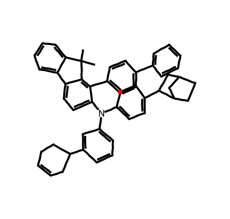 CC1(C)c2ccccc2-c2ccc(N(c3ccc(C4CC5CCC4C5)cc3)c3cccc(C4CC=CCC4)c3)c(-c3ccc(-c4ccccc4)cc3)c21